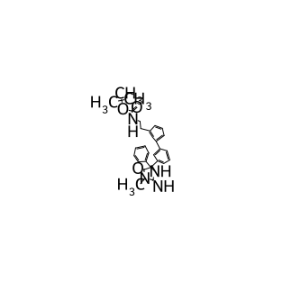 CN1C(=N)NC(c2ccccc2)(c2cccc(-c3cccc(CCNC(=O)OC(C)(C)C)c3)c2)C1=O